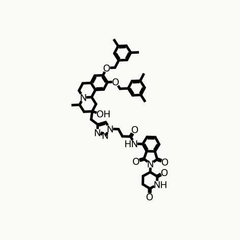 Cc1cc(C)cc(COc2cc3c(cc2OCc2cc(C)cc(C)c2)C2CC(O)(Cc4cn(CCC(=O)Nc5cccc6c5C(=O)N(C5CCC(=O)NC5=O)C6=O)nn4)CC(C)N2CC3)c1